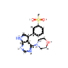 CS(=O)(=O)c1cccc(-c2c[nH]c3ncnc(N4CCOCC4)c23)c1